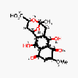 COC1=CC(=O)c2c(O)c3c(c(O)c2C1=O)CC1(C)OC(C(=O)O)CC3O1